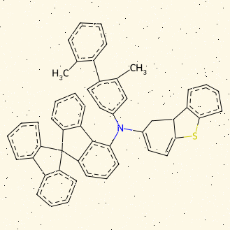 Cc1ccccc1-c1ccc(N(C2=CC=C3Sc4ccccc4C3C2)c2cccc3c2-c2ccccc2C32c3ccccc3-c3ccccc32)cc1C